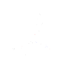 COC(=O)[C@]12CC(=O)[C@@H]3C[C@@H](OC(=O)c4ccc([N+](=O)[O-])cc4)CN3C(=O)[C@@H](NC(=O)OC3CCCC3)CCCCC/C=C\[C@@H]1C2